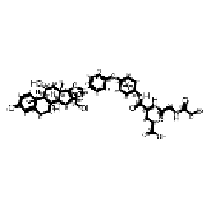 C[C@]12C=CC(=O)C=C1CC[C@@H]1[C@@H]2[C@@H](O)C[C@@]2(C)[C@H]1CC1O[C@@H](c3ccc(OC45CCC(NC(=O)[C@H](CCC(=O)O)NC(=O)CNC(=O)CBr)(CC4)CC5)cc3)O[C@]12C(=O)CO